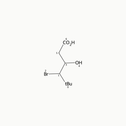 CC(C)(C)C(Br)C(O)CC(=O)O